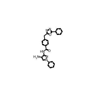 Nc1cn(-c2ccccc2)nc1NC(=O)c1ccc(Cc2nnc(-c3ccccc3)o2)cc1